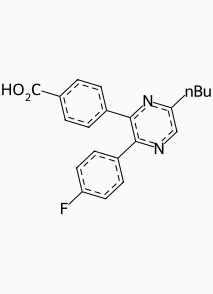 CCCCc1cnc(-c2ccc(F)cc2)c(-c2ccc(C(=O)O)cc2)n1